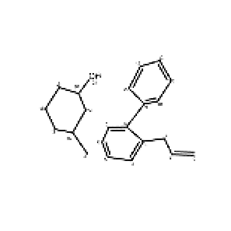 C=CCc1ccccc1-c1ccccc1.CC1CCCC(O)C1